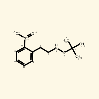 CC(C)(C)SNCCc1ccccc1[N+](=O)[O-]